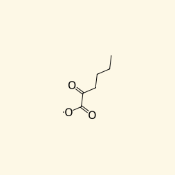 CCCCC(=O)C([O])=O